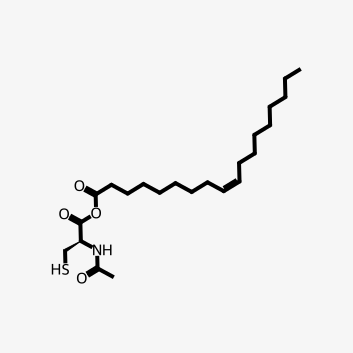 CCCCCCCC/C=C\CCCCCCCC(=O)OC(=O)[C@H](CS)NC(C)=O